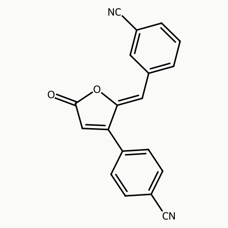 N#Cc1ccc(C2=CC(=O)O/C2=C\c2cccc(C#N)c2)cc1